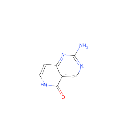 Nc1ncc2c(=O)[nH]ccc2n1